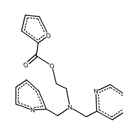 O=C(OCCN(Cc1ccccn1)Cc1ccccn1)c1ccco1